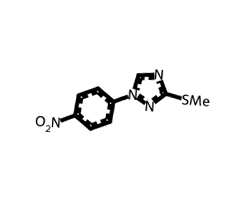 CSc1ncn(-c2ccc([N+](=O)[O-])cc2)n1